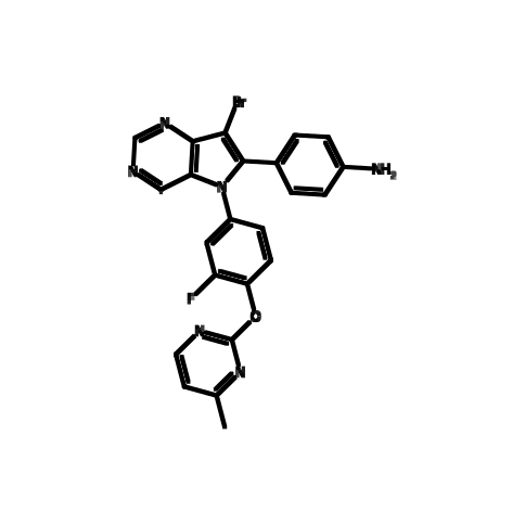 Cc1ccnc(Oc2ccc(-n3c(-c4ccc(N)cc4)c(Br)c4ncn[c]c43)cc2F)n1